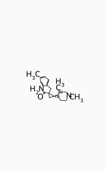 Cc1ccc(CC2(C(N)=O)CC2[C@@H]2CCN(C)C[C@H]2C)cc1